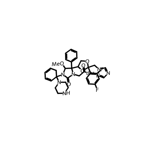 COC1N(C2(N3CCNCC3)C=CC=CC2)C(=O)N(CC(=O)C(C)(C)C)C1(c1ccccc1)C1COC(Cn2cncn2)(c2ccc(F)cc2F)O1